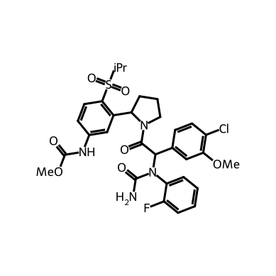 COC(=O)Nc1ccc(S(=O)(=O)C(C)C)c(C2CCCN2C(=O)C(c2ccc(Cl)c(OC)c2)N(C(N)=O)c2ccccc2F)c1